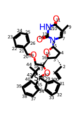 C=CC[C@H]1C[C@H](n2cc(C)c(=O)[nH]c2=O)O[C@@H]1C(COCc1ccccc1)O[Si](c1ccccc1)(c1ccccc1)C(C)(C)C